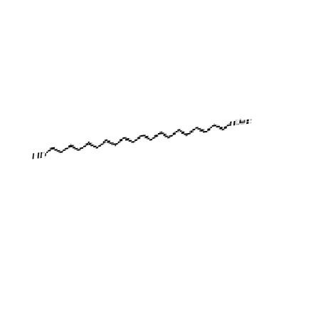 [CH2]CCCCCCCCCCCCCCCCCCCCCCCCCCCCCO